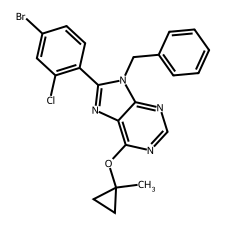 CC1(Oc2ncnc3c2nc(-c2ccc(Br)cc2Cl)n3Cc2ccccc2)CC1